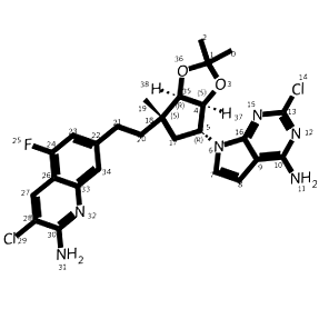 CC1(C)O[C@H]2[C@H](n3ccc4c(N)nc(Cl)nc43)C[C@](C)(CCc3cc(F)c4cc(Cl)c(N)nc4c3)[C@H]2O1